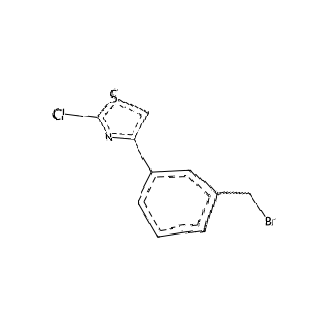 Clc1nc(-c2cccc(CBr)c2)cs1